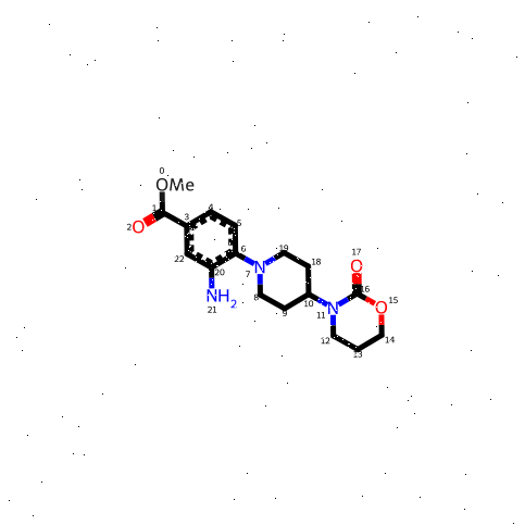 COC(=O)c1ccc(N2CCC(N3CCCOC3=O)CC2)c(N)c1